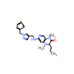 CCCC1C(=O)N(C)c2cnc(NCc3cnn(Cc4ccc(F)cc4)c3)cc2N1C